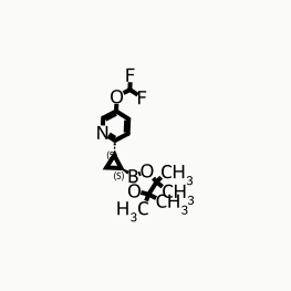 CC1(C)OB([C@H]2C[C@@H]2c2ccc(OC(F)F)cn2)OC1(C)C